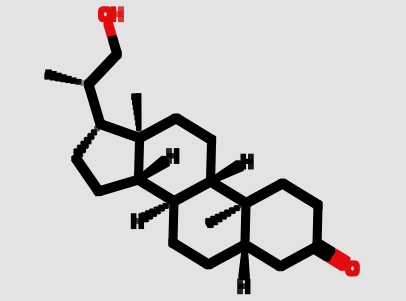 C[C@H](CO)[C@H]1CC[C@H]2[C@@H]3CC[C@H]4CC(=O)CC[C@]4(C)[C@H]3CC[C@]12C